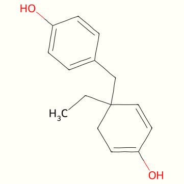 CCC1(Cc2ccc(O)cc2)C=CC(O)=CC1